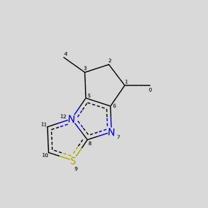 CC1CC(C)c2c1nc1sccn21